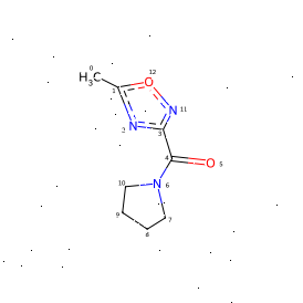 Cc1nc(C(=O)N2CCCC2)no1